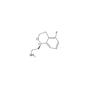 NCC[C@H]1OCCc2c(F)cccc21